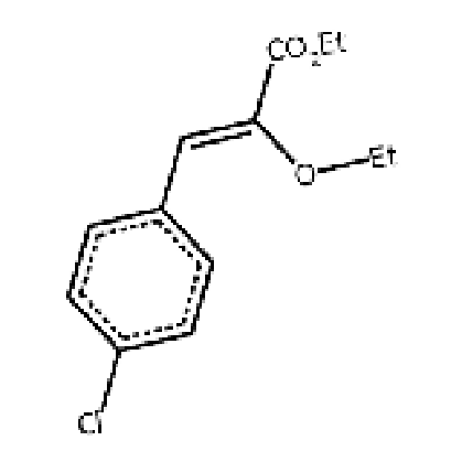 CCOC(=O)C(=Cc1ccc(Cl)cc1)OCC